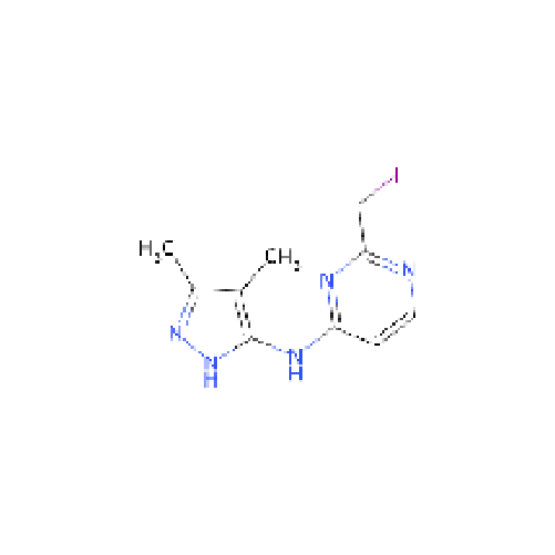 Cc1n[nH]c(Nc2ccnc(CI)n2)c1C